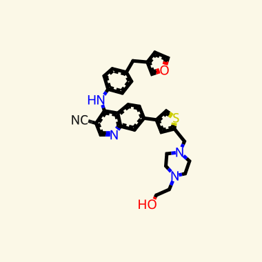 N#Cc1cnc2cc(-c3csc(CN4CCN(CCO)CC4)c3)ccc2c1Nc1ccc(Cc2ccoc2)cc1